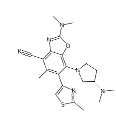 Cc1nc(-c2c(C)c(C#N)c3nc(N(C)C)oc3c2N2CC[C@H](N(C)C)C2)cs1